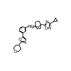 c1cc(NCC23CCC(c4nc(C5CC5)no4)(CC2)C3)cc(-c2cnc(C3CCOCC3)o2)c1